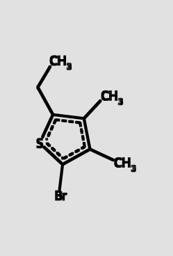 CCc1sc(Br)c(C)c1C